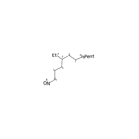 CCCCCCCC(CC)CCCN=O